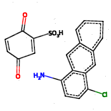 Nc1ccc(Cl)c2cc3ccccc3cc12.O=C1C=CC(=O)C(S(=O)(=O)O)=C1